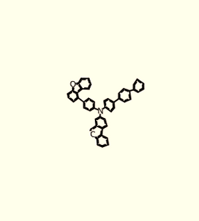 c1ccc(-c2ccc(-c3ccc(N(c4ccc(-c5cccc6oc7ccccc7c56)cc4)c4ccc5c(ccc6ccccc65)c4)cc3)cc2)cc1